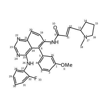 COc1cccc(-c2c(NC(=O)C=CC3CCCN3C)ccc3ncnc(Nc4ccccc4F)c23)c1